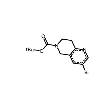 CC(C)(C)OC(=O)N1CCc2ncc(Br)cc2C1